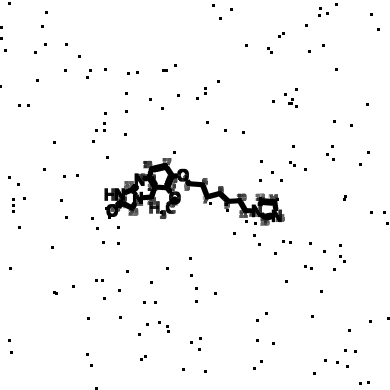 COc1c(OCCCCCCCn2ccnc2)ccc2c1CN1CC(=O)NC1=N2